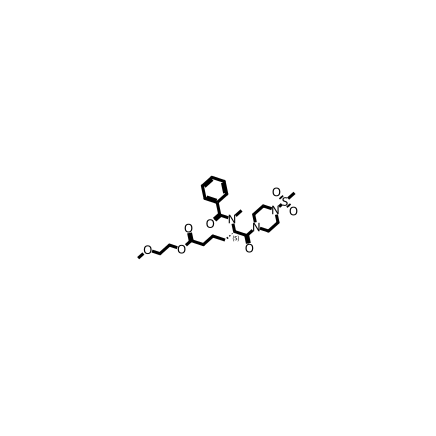 COCCOC(=O)CCC[C@@H](C(=O)N1CCN(S(C)(=O)=O)CC1)N(C)C(=O)c1ccccc1